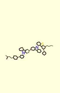 C=C(C)CCc1ccc(-c2cccc(-n3c4c(c5ccccc53)=CC(c3ccc5c(c3)c3ccccc3n5-c3cccc5sc6c(CCCC)cc(-c7ccccc7)cc6c35)CC=4)c2)cc1